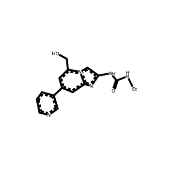 CCNC(=O)Nc1cn2c(CO)cc(-c3cccnc3)cc2n1